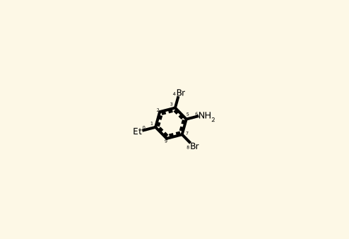 CCc1cc(Br)c(N)c(Br)c1